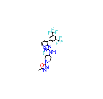 Cc1nnc(N2CC[C@H](Nc3nc4c(-c5cc(C(F)(F)F)cc(C(F)(F)F)c5)cccn4n3)[C@H](F)C2)o1